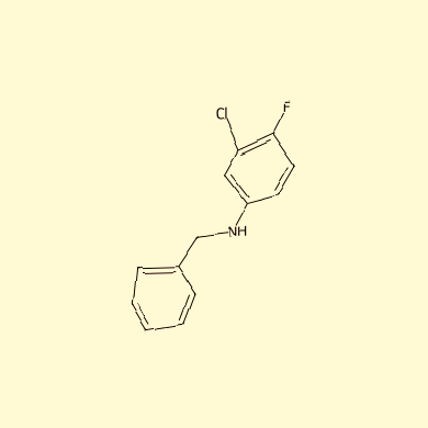 Fc1ccc(NCc2ccccc2)cc1Cl